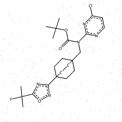 CC(C)(C)OC(=O)N(CC12CCC(c3noc(C(C)(C)F)n3)(CC1)CC2)c1nccc(Cl)n1